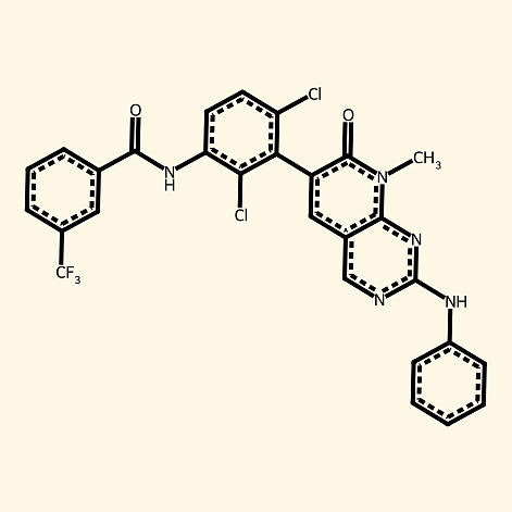 Cn1c(=O)c(-c2c(Cl)ccc(NC(=O)c3cccc(C(F)(F)F)c3)c2Cl)cc2cnc(Nc3ccccc3)nc21